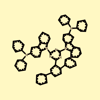 c1ccc(-c2ccc(-c3ccccc3)c(-c3nc(-n4c5ccccc5c5cc(N(c6ccccc6)c6ccccc6)ccc54)nc(-n4c5ccccc5c5cc(N(c6ccccc6)c6ccccc6)ccc54)n3)c2)cc1